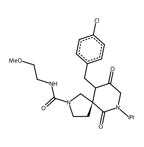 COCCNC(=O)N1CC[C@]2(C1)C(=O)N(C(C)C)CC(=O)C2Cc1ccc(Cl)cc1